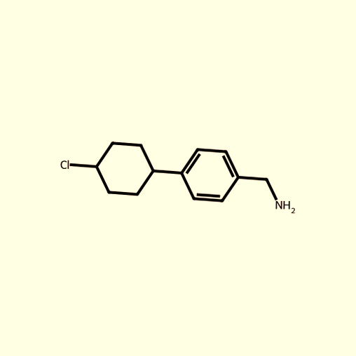 NCc1ccc(C2CCC(Cl)CC2)cc1